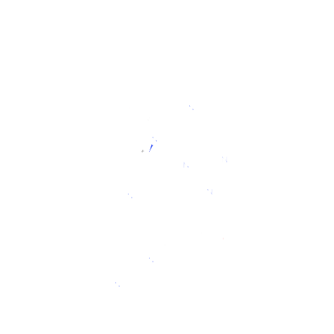 COc1cc(N2CCNCC2)ccc1Nc1ncc2nc(C3CCCCC3)c(=O)n([C@@H]3CCCN(C)C3)c2n1